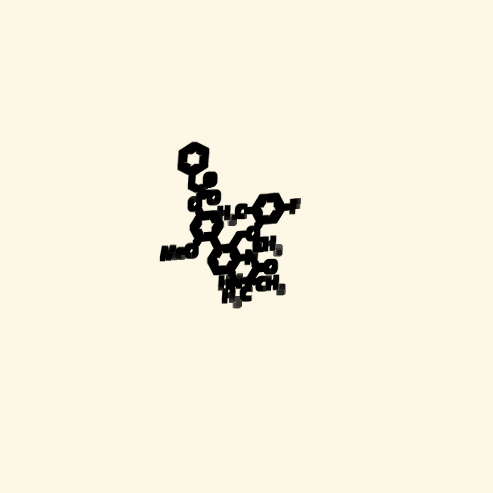 COc1cc(OS(=O)(=O)Cc2ccccc2)ccc1-c1ccc2c(c1COc1cc(F)ccc1C)N(C)C(=O)C(C)(C)N2